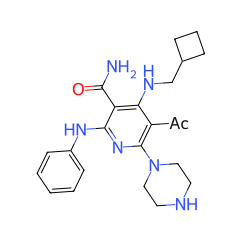 CC(=O)c1c(N2CCNCC2)nc(Nc2ccccc2)c(C(N)=O)c1NCC1CCC1